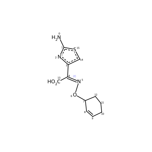 Nc1nc(/C(=N/OC2C=CCCC2)C(=O)O)cs1